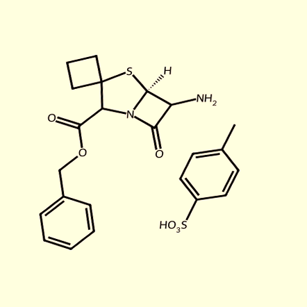 Cc1ccc(S(=O)(=O)O)cc1.NC1C(=O)N2C(C(=O)OCc3ccccc3)C3(CCC3)S[C@@H]12